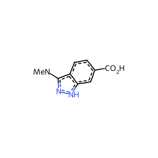 CNc1n[nH]c2cc(C(=O)O)ccc12